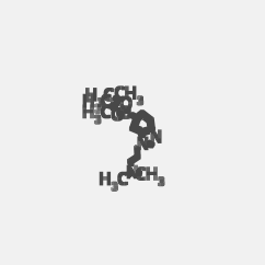 CN(C)CCCn1cnc2ccc(B3OC(C)(C)C(C)(C)O3)cc21